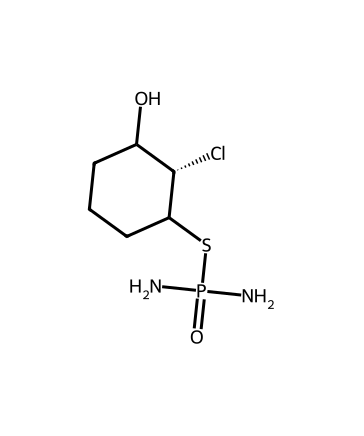 NP(N)(=O)SC1CCCC(O)[C@@H]1Cl